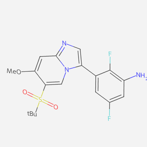 COc1cc2ncc(-c3cc(F)cc(N)c3F)n2cc1S(=O)(=O)C(C)(C)C